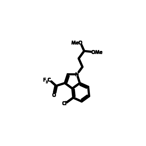 COC(CCn1cc(C(=O)C(F)(F)F)c2c(Cl)cccc21)OC